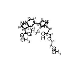 COCCOC[C@@H](O)Cn1ncc(-c2ccn3ncc(C(=O)OC)c3c2)c1C